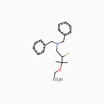 CCOC(=O)COC(C)(C)C(F)CN(Cc1ccccc1)Cc1ccccc1